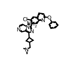 CN(C)CC1CC(C2=C3C=NC=C[N+]3(N)C(c3cc4nc(Oc5ccccc5)ccc4cc3Cl)=N2)C1